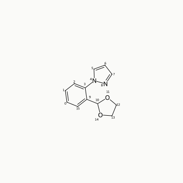 c1ccc(-n2cccn2)c(C2OCCO2)c1